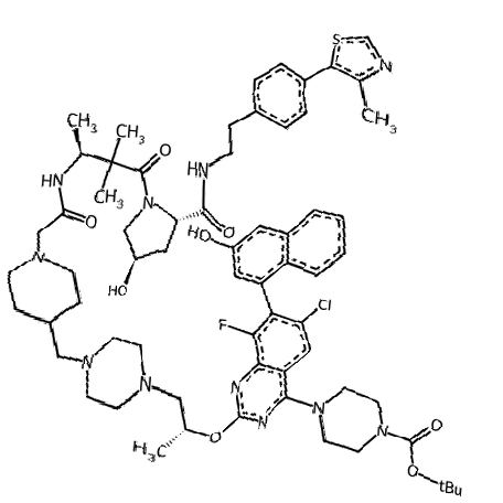 Cc1ncsc1-c1ccc(CCNC(=O)[C@@H]2C[C@@H](O)CN2C(=O)C(C)(C)[C@H](C)NC(=O)CN2CCC(CN3CCN(C[C@@H](C)Oc4nc(N5CCN(C(=O)OC(C)(C)C)CC5)c5cc(Cl)c(-c6cc(O)cc7ccccc67)c(F)c5n4)CC3)CC2)cc1